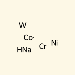 [Co].[Cr].[NaH].[Ni].[W]